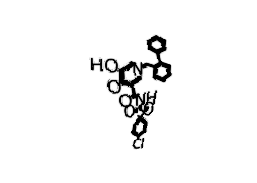 O=C(NS(=O)(=O)c1ccc(Cl)cc1)c1cn(Cc2ccccc2-c2ccccc2)cc(O)c1=O